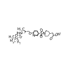 C=C(CNC(=O)OC(C)(C)C)COc1ccc(S(=O)(=O)N2CCC(CC(=O)O)CC2)cn1